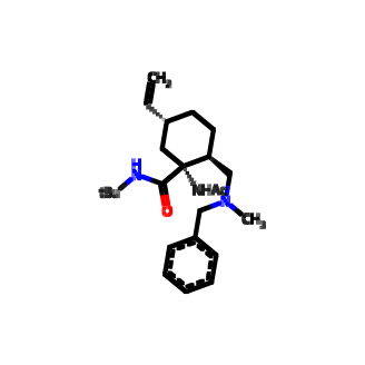 C=C[C@@H]1CC[C@@H](CN(C)Cc2ccccc2)[C@@](NC(C)=O)(C(=O)NC(C)(C)C)C1